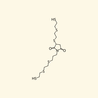 O=C1CC(SCCSCCS)C(=O)N1CCCSCCSCCS